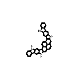 c1ccc2c(c1)[nH]c1cc3c(cc12)[nH]c1cc2ccc4cc5[nH]c6cc7c(cc6c5c5ccc(c13)c2c45)[nH]c1ccccc17